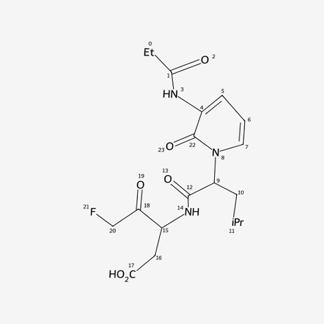 CCC(=O)Nc1cccn(C(CC(C)C)C(=O)NC(CC(=O)O)C(=O)CF)c1=O